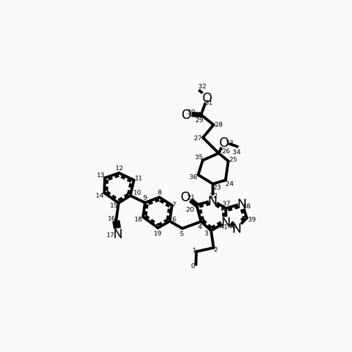 CCCc1c(Cc2ccc(-c3ccccc3C#N)cc2)c(=O)n(C2CCC(CCC(=O)OC)(OC)CC2)c2ncnn12